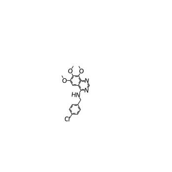 COc1cc2c(NCc3ccc(Cl)cc3)ncnc2c(OC)c1OC